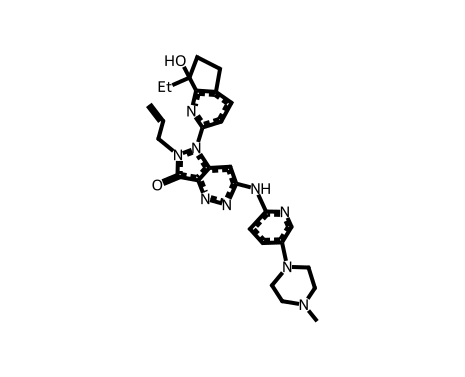 C=CCn1c(=O)c2nnc(Nc3ccc(N4CCN(C)CC4)cn3)cc2n1-c1ccc2c(n1)C(O)(CC)CC2